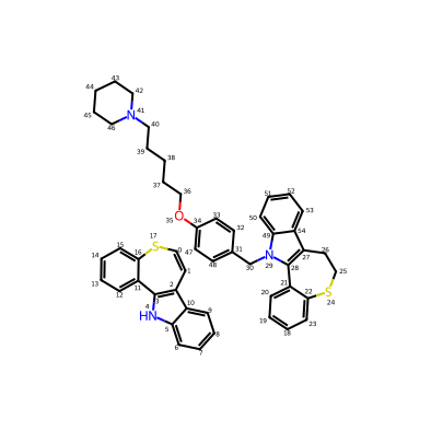 C1=Cc2c([nH]c3ccccc23)-c2ccccc2S1.c1ccc2c(c1)SCCc1c-2n(Cc2ccc(OCCCCCN3CCCCC3)cc2)c2ccccc12